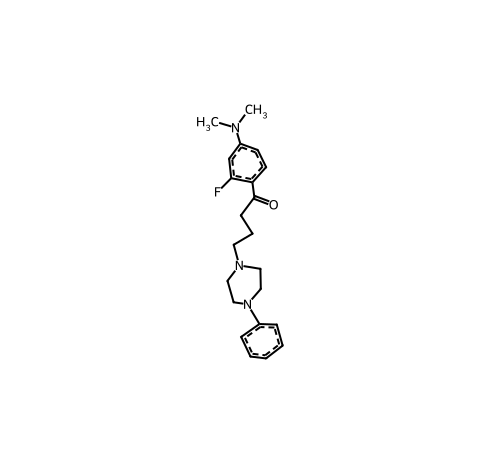 CN(C)c1ccc(C(=O)CCCN2CCN(c3ccccc3)CC2)c(F)c1